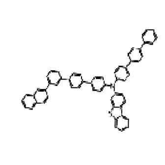 c1ccc(-c2ccc(-c3ccc(N(c4ccc(-c5ccc(-c6cccc(-c7ccc8ccccc8c7)c6)cc5)cc4)c4ccc5c(c4)sc4ccccc45)cc3)cc2)cc1